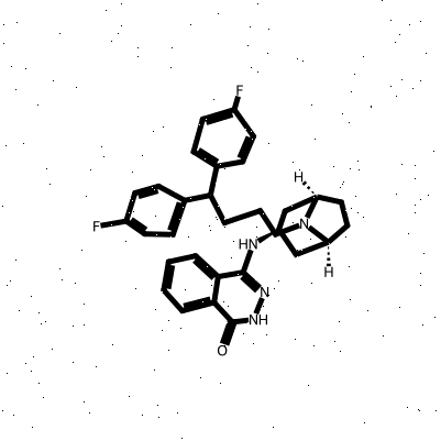 O=c1[nH]nc(N[C@H]2C[C@H]3CC[C@@H](C2)N3CCCC(c2ccc(F)cc2)c2ccc(F)cc2)c2ccccc12